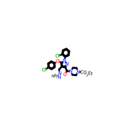 CCCNCc1c(C(=O)N2CCN(C(=O)OCC)CC2)nn(-c2ccccc2Cl)c1Oc1ccc(Cl)cc1